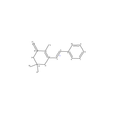 CC1=C(/C=C/c2ccccc2)CC(C)(C)CC1=O